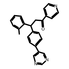 Cc1ccccc1C(CC(=O)c1ccncc1)c1ccc(-c2cncnc2)cc1